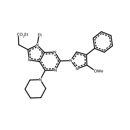 CCOC(=O)Cc1nc2c(N3CCCCC3)nc(-n3cc(-c4ccccc4)c(OC)n3)nc2n1CC